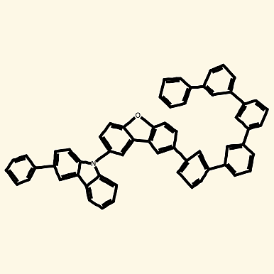 c1ccc(-c2cccc(-c3cccc(-c4cccc(-c5cccc(-c6ccc7oc8ccc(-n9c%10ccccc%10c%10cc(-c%11ccccc%11)ccc%109)cc8c7c6)c5)c4)c3)c2)cc1